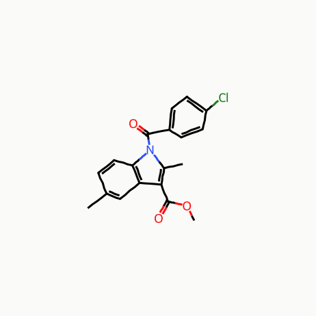 COC(=O)c1c(C)n(C(=O)c2ccc(Cl)cc2)c2ccc(C)cc12